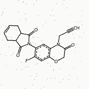 C#CCN1C(=O)COc2cc(F)c(N3C(=O)C4CC=CCC4C3=O)cc21